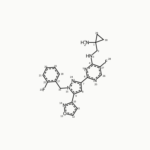 NC1(CNc2nc(-c3cc(-c4ccon4)n(Cc4ccccc4F)n3)ncc2F)CC1